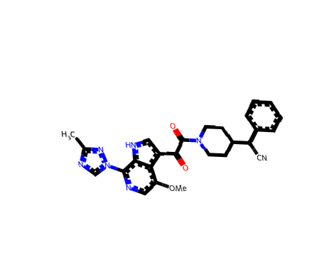 COc1cnc(-n2cnc(C)n2)c2[nH]cc(C(=O)C(=O)N3CCC(C(C#N)c4ccccc4)CC3)c12